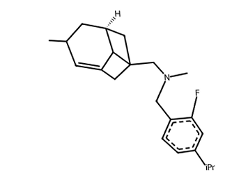 CC1C=C2CC3(CN(C)Cc4ccc(C(C)C)cc4F)C[C@H](C1)C23